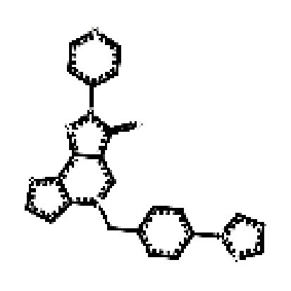 O=c1c2cn(Cc3ccc(-n4cccn4)cc3)c3ccsc3c-2nn1-c1ccncc1